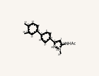 CC(=O)Nc1cc(-c2ccc(-c3ccc(C)c(C)c3)cc2)nn1C